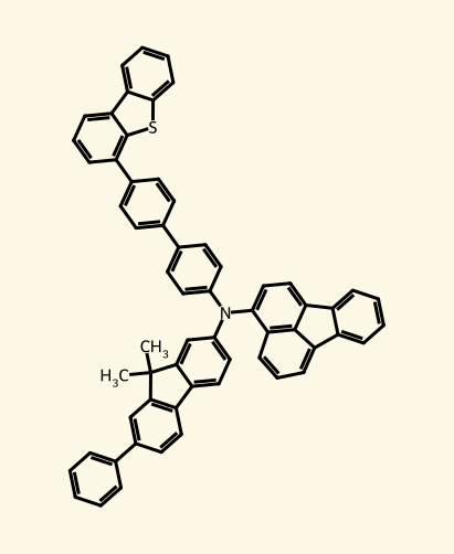 CC1(C)c2cc(-c3ccccc3)ccc2-c2ccc(N(c3ccc(-c4ccc(-c5cccc6c5sc5ccccc56)cc4)cc3)c3ccc4c5c(cccc35)-c3ccccc3-4)cc21